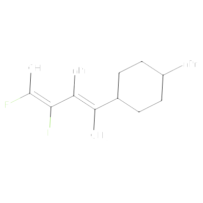 CCCC(/C(F)=C(\C)F)=C(/C)C1CCC(CCC)CC1